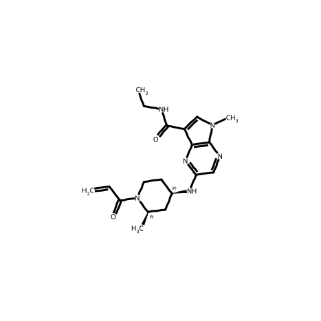 C=CC(=O)N1CC[C@@H](Nc2cnc3c(n2)c(C(=O)NCC)cn3C)C[C@H]1C